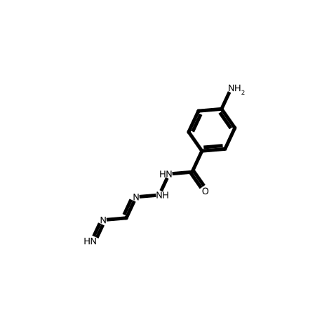 N=NC=NNNC(=O)c1ccc(N)cc1